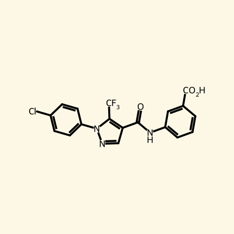 O=C(O)c1cccc(NC(=O)c2cnn(-c3ccc(Cl)cc3)c2C(F)(F)F)c1